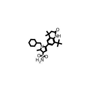 CC1C(S(N)(=O)=O)C=C(c2cc(C(C)(C)C)c3c(c2)C(C)(C)CC(=O)N3)N1CC1CCCCC1